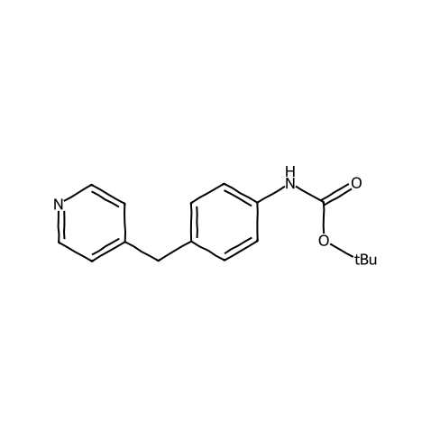 CC(C)(C)OC(=O)Nc1ccc(Cc2ccncc2)cc1